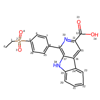 CCS(=O)(=O)c1ccc(-c2nc(C(=O)O)cc3c2[nH]c2ccccc23)cc1